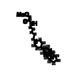 COCC(=O)NCCCCCN1CCC(c2cnc(N3C4CCC3CN(C)C4)nc2)CC1